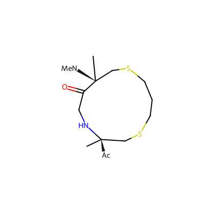 CN[C@@]1(C)CSCCCSC[C@@](C)(C(C)=O)NCC1=O